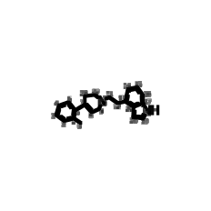 Cc1ccccc1C1=CCN(CCc2cccc3[nH]ccc23)CC1